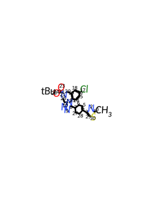 Cc1nc(C2=CCC(c3nnc4n3-c3ccc(Cl)cc3CN(C(=O)OC(C)(C)C)C4)CC2)cs1